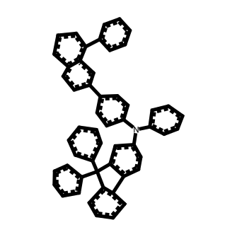 c1ccc(-c2cccc3ccc(-c4ccc(N(c5ccccc5)c5ccc6c(c5)C(c5ccccc5)(c5ccccc5)c5ccccc5-6)cc4)cc23)cc1